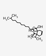 CC(C)CCCCCCCCCCCC1(C(=O)O)CC=CCC1(C(=O)O)C(C)C